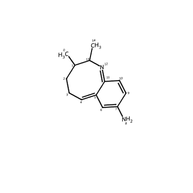 CC1CC/C=c2/cc(N)cc/c2=N/C1C